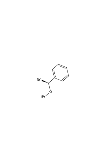 CC(C)O[C@@H](C#N)c1ccccc1